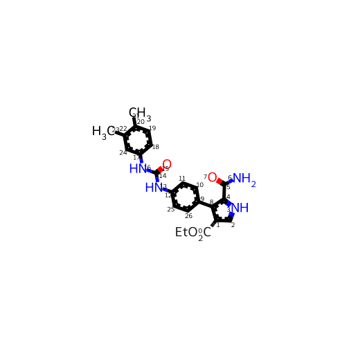 CCOC(=O)c1c[nH]c(C(N)=O)c1-c1ccc(NC(=O)Nc2ccc(C)c(C)c2)cc1